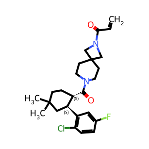 C=CC(=O)N1CC2(CCN(C(=O)[C@H]3CCC(C)(C)C[C@@H]3c3cc(F)ccc3Cl)CC2)C1